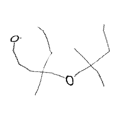 CCC(C)(C)OC(C)(CC)C[O]